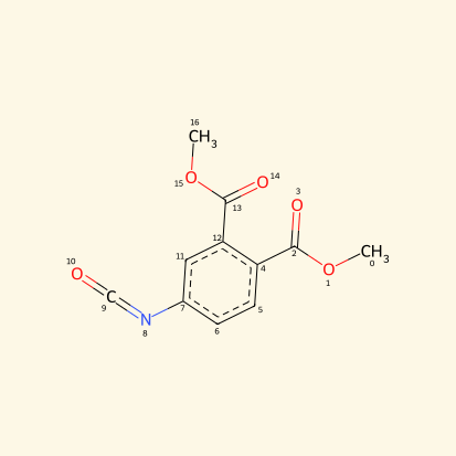 COC(=O)c1ccc(N=C=O)cc1C(=O)OC